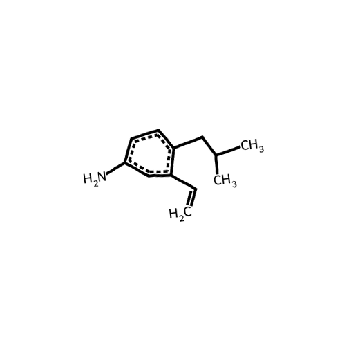 C=Cc1cc(N)ccc1CC(C)C